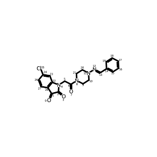 O=C1C(=O)N(CC(=O)N2CCN(/N=C/c3ccccc3)CC2)c2cc(Cl)ccc21